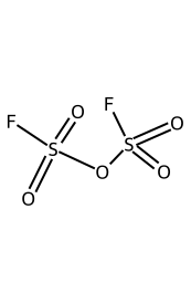 O=S(=O)(F)OS(=O)(=O)F